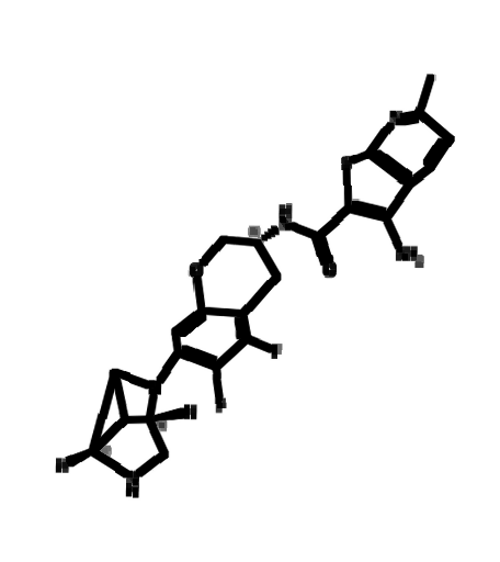 Cc1ccc2c(N)c(C(=O)N[C@H]3COc4cc(N5C6C7[C@@H]6NC[C@H]75)c(F)c(F)c4C3)sc2n1